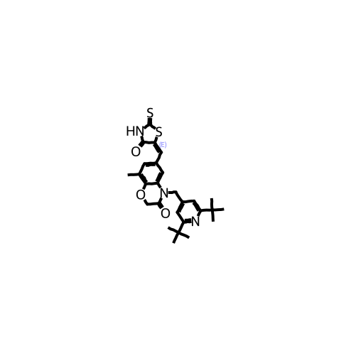 Cc1cc(/C=C2/SC(=S)NC2=O)cc2c1OCC(=O)N2Cc1cc(C(C)(C)C)nc(C(C)(C)C)c1